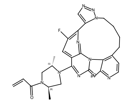 C=CC(=O)N1C[C@H](C)N(c2nc(=O)n3c4nc(c(F)cc24)-c2cnnn2CCCCc2ccnc(C(C)C)c2-3)C[C@H]1C